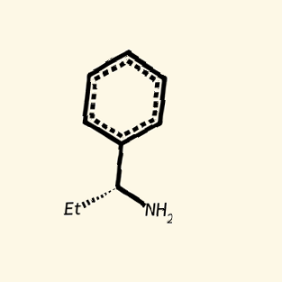 [CH2]C[C@@H](N)c1ccccc1